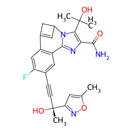 Cc1cc([C@](C)(O)C#Cc2cc3c(cc2F)C2=CC(C2)n2c-3nc(C(N)=O)c2C(C)(C)O)no1